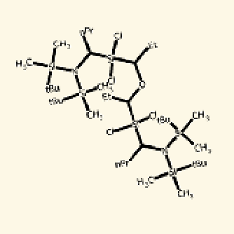 CCCC(N([Si](C)(C)C(C)(C)C)[Si](C)(C)C(C)(C)C)[Si](Cl)(Cl)C(CC)OC(CC)[Si](Cl)(Cl)C(CCC)N([Si](C)(C)C(C)(C)C)[Si](C)(C)C(C)(C)C